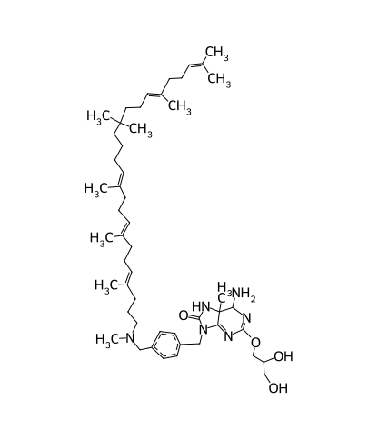 CC(C)=CCC/C(C)=C/CCC(C)(C)CCC/C=C(\C)CC/C=C(\C)CC/C=C(\C)CCCN(C)Cc1ccc(CN2C(=O)NC3(C)C2=NC(OCC(O)CO)=NC3N)cc1